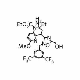 CCOC(=O)N1c2ccc(OC)nc2C(C2N=C(CO)ON2Cc2cc(C(F)(F)F)cc(C(F)(F)F)c2)CC1(N)CC